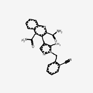 Cc1c(-c2c(C(N)=O)nc3ccccc3c2C(N)=O)cnn1Cc1ccccc1C#N